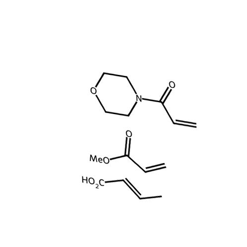 C=CC(=O)N1CCOCC1.C=CC(=O)OC.CC=CC(=O)O